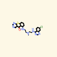 CN(CCNc1ncnc2cc(Cl)ccc12)CCNc1cccc2sc3ncncc3c(=O)c12